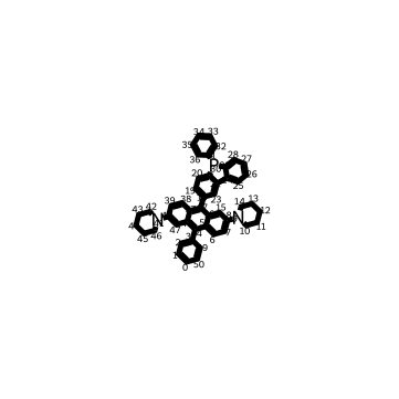 c1ccc(-c2c3ccc(N4CCCCC4)cc3c(-c3ccc4c(c3)c3ccccc3p4-c3ccccc3)c3ccc(N4CCCCC4)cc23)cc1